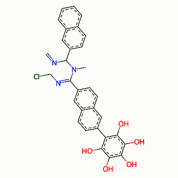 C=NC(c1ccc2ccccc2c1)N(C)/C(=N\CCl)c1ccc2cc(-c3c(O)c(O)c(O)c(O)c3O)ccc2c1